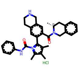 Cc1c(C)c(-c2cc3c(cc2C(=O)N2Cc4ccccc4C[C@H]2C)CNCC3)n(C(=O)Nc2ccccc2)c1C.Cl